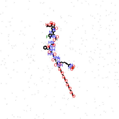 COCCOCCOCCOCCOCCOCCOCCOCCNC(=O)[C@H](CCC(=O)NCC(=O)NCC(=O)N[C@@H](Cc1ccccc1)C(=O)NCC(=O)NCO[C@@H](C)C(=O)NCc1c2c(nc3cc(F)c(C)cc13)-c1cc3c(c(=O)n1C2)COC(=O)[C@]3(O)CC1CC1)NC(=O)CCCC#Cc1cnc(S(C)(=O)=O)nc1